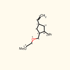 C=CC1CC(COCCOC)C(C(C)C)C1